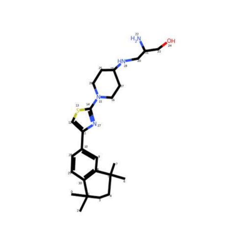 CC1(C)CCC(C)(C)c2cc(-c3csc(N4CCC(NCC(N)CO)CC4)n3)ccc21